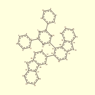 c1ccc(-c2nc(-c3ccccc3)nc(-c3c(-c4ccc5oc6ccccc6c5c4)ccc4sc5ccccc5c34)n2)cc1